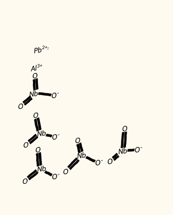 [Al+3].[O]=[Nb](=[O])[O-].[O]=[Nb](=[O])[O-].[O]=[Nb](=[O])[O-].[O]=[Nb](=[O])[O-].[O]=[Nb](=[O])[O-].[Pb+2]